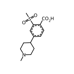 CN1CCC(c2ccc(C(=O)O)c(S(C)(=O)=O)c2)CC1